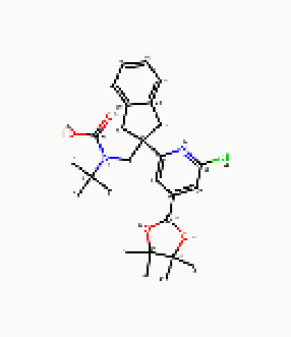 CC(C)(C)N(CC1(c2cc(B3OC(C)(C)C(C)(C)O3)cc(Cl)n2)Cc2ccccc2C1)C(=O)O